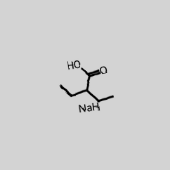 CCC(CC)C(=O)O.[NaH]